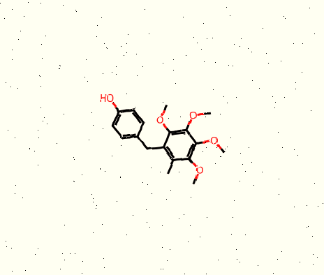 COc1c(C)c(Cc2ccc(O)cc2)c(OC)c(OC)c1OC